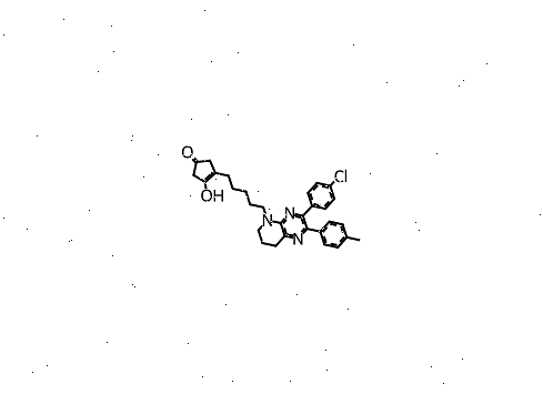 Cc1ccc(-c2nc3c(nc2-c2ccc(Cl)cc2)N(CCCCCC2=C(O)CC(=O)C2)CCC3)cc1